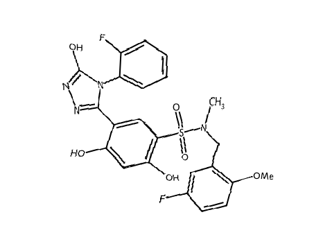 COc1ccc(F)cc1CN(C)S(=O)(=O)c1cc(-c2nnc(O)n2-c2ccccc2F)c(O)cc1O